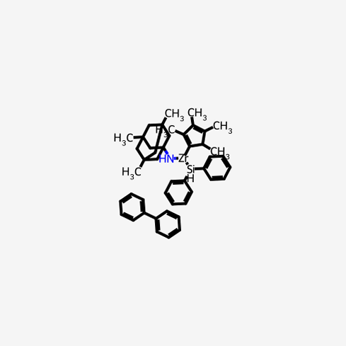 CC1=C(C)C(C)[C]([Zr]([NH]C23CC4(C)CC(C)(CC(C)(C4)C2)C3)[SiH](c2ccccc2)c2ccccc2)=C1C.c1ccc(-c2ccccc2)cc1